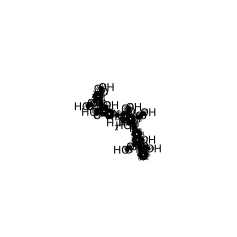 Nc1c(N=Nc2ccc3cc(S(=O)(=O)O)c(N=Nc4cc(S(=O)(=O)O)ccc4SOOO)c(O)c3c2)cc(S(=O)(=O)O)c2cc(SOOO)c(N=Nc3ccc4c(O)c(N=Nc5ccccc5C(=O)O)c(SOOO)cc4c3)c(O)c12